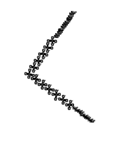 O=S(=O)([O-])[O-].O=S(=O)([O-])[O-].O=S(=O)([O-])[O-].O=S(=O)([O-])[O-].O=S(=O)([O-])[O-].O=S(=O)([O-])[O-].O=S(=O)([O-])[O-].O=S(=O)([O-])[O-].O=S(=O)([O-])[O-].O=S(=O)([O-])[O-].O=S(=O)([O-])[O-].O=S(=O)([O-])[O-].[Na+].[Na+].[Na+].[Na+].[Na+].[Na+].[Na+].[Na+].[Na+].[Na+].[Na+].[Na+].[Na+].[Na+].[Na+].[Na+].[Na+].[Na+].[Na+].[Na+].[Na+].[Na+].[Na+].[Na+]